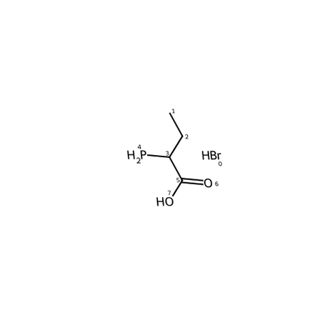 Br.CCC(P)C(=O)O